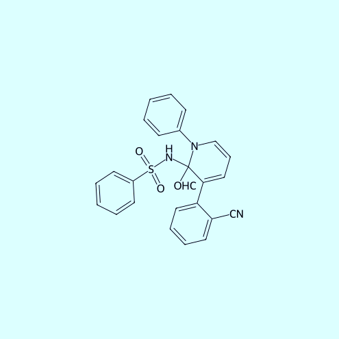 N#Cc1ccccc1C1=CC=CN(c2ccccc2)C1(C=O)NS(=O)(=O)c1ccccc1